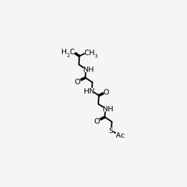 C=C(C)CNC(=O)CNC(=O)CNC(=O)CSC(C)=O